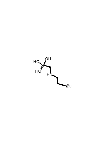 CCCCCCNC[Si](O)(O)O